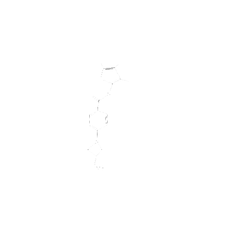 COC1CN(c2ccc(C(=O)Nc3sc(C)c(C)c3C(=O)O)cc2)C1